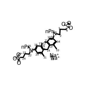 CCCN(CCCS(=O)(=O)[O-])c1cc(C)c(Cc2c(C)cc(N(CCC)CCCS(=O)(=O)[O-])cc2C)c(C)c1.[Na+].[Na+]